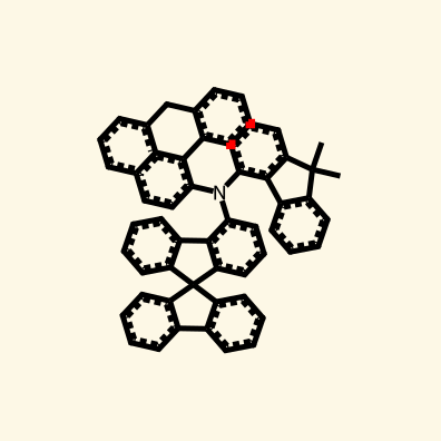 CC1(C)c2ccccc2-c2c(N(c3cccc4c3-c3ccccc3C43c4ccccc4-c4ccccc43)c3ccc4cccc5c4c3-c3ccccc3C5)cccc21